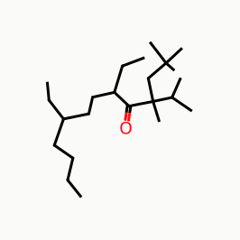 CCCCC(CC)CCC(CC)C(=O)C(C)(CC(C)(C)C)C(C)C